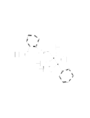 Cc1ccccc1OCC(C)(C)C(C)(C)c1ccccc1